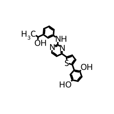 CC(O)c1cccc(Nc2nccc(-c3ccc(-c4cc(O)ccc4O)s3)n2)c1